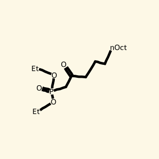 CCCCCCCCCCCC(=O)CP(=O)(OCC)OCC